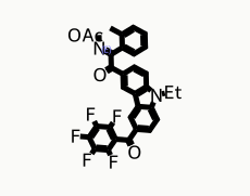 CCn1c2ccc(C(=O)/C(=N/OC(C)=O)c3ccccc3C)cc2c2cc(C(=O)c3c(F)c(F)c(F)c(F)c3F)ccc21